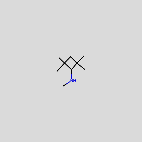 CNC1C(C)(C)CC1(C)C